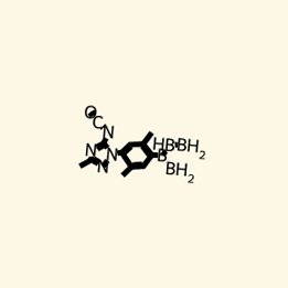 BBB(B)c1cc(C)c(-n2nc(C)nc2N=C=O)cc1C